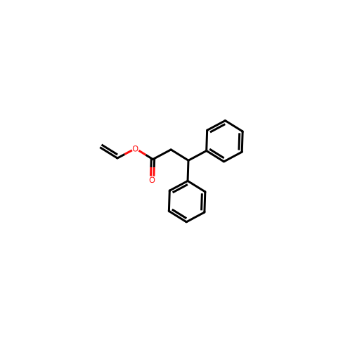 C=COC(=O)CC(c1ccccc1)c1ccccc1